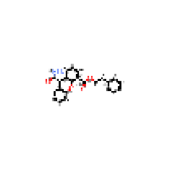 NC(=O)C1c2ccccc2Oc2c(C(=O)OCCc3ccccc3)cccc21